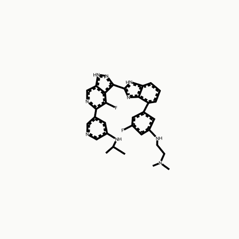 CC(C)Nc1cncc(-c2ncc3[nH]nc(-c4nc5c(-c6cc(F)cc(NCCN(C)C)c6)cccc5[nH]4)c3c2F)c1